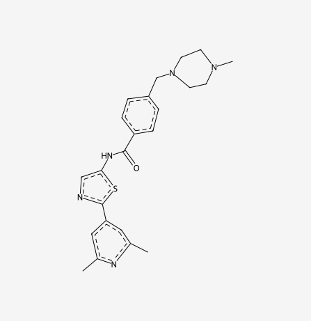 Cc1cc(-c2ncc(NC(=O)c3ccc(CN4CCN(C)CC4)cc3)s2)cc(C)n1